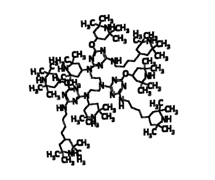 CC1(C)CC(CCCCNc2nc(OC3CC(C)(C)NC(C)(C)C3)nc(N(CCN(c3nc(NCCCCC4CC(C)(C)NC(C)(C)C4)nc(OC4CC(C)(C)NC(C)(C)C4)n3)C3CC(C)(C)NC(C)(C)C3)CCN(c3nc(NCCCCC4CC(C)(C)NC(C)(C)C4)nc(OC4CC(C)(C)NC(C)(C)C4)n3)C3CC(C)(C)NC(C)(C)C3)n2)CC(C)(C)N1